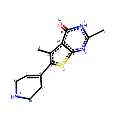 Cc1nc2sc(C3=CCNCC3)c(C)c2c(=O)[nH]1